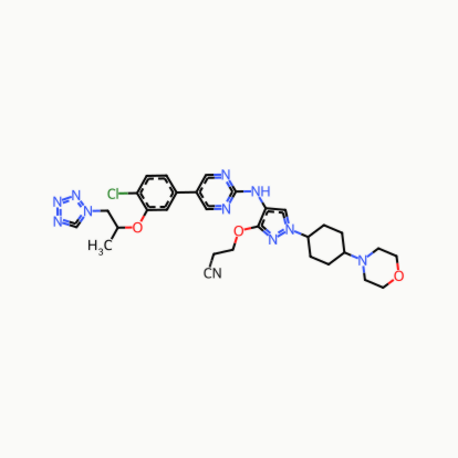 CC(Cn1cnnn1)Oc1cc(-c2cnc(Nc3cn(C4CCC(N5CCOCC5)CC4)nc3OCCC#N)nc2)ccc1Cl